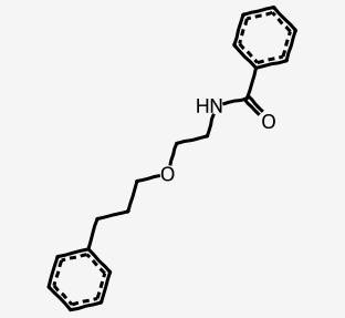 O=C(NCCOCCCc1ccccc1)c1ccccc1